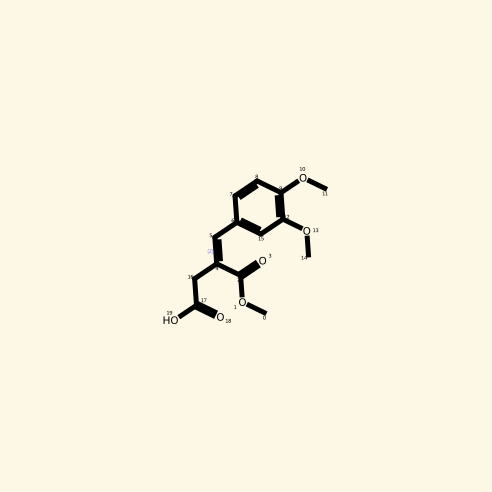 COC(=O)/C(=C\c1ccc(OC)c(OC)c1)CC(=O)O